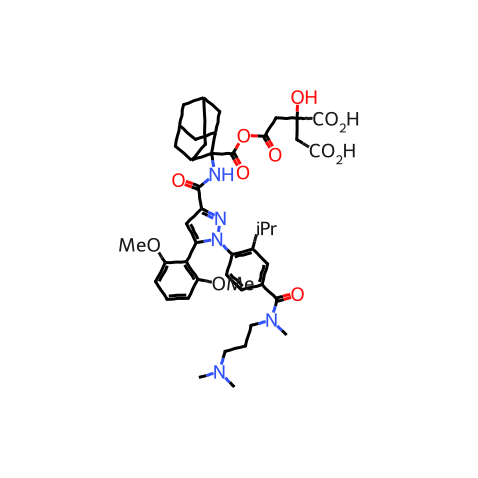 COc1cccc(OC)c1-c1cc(C(=O)NC2(C(=O)OC(=O)CC(O)(CC(=O)O)C(=O)O)C3CC4CC(C3)CC2C4)nn1-c1ccc(C(=O)N(C)CCCN(C)C)cc1C(C)C